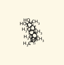 Cc1c(O)c(O)cc2c1C=CC1[C@@]2(C)CC[C@@]2(C)[C@@H]3C[C@@H](C)CC[C@]3(C)CC[C@]12C